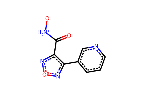 O=C([NH2+][O-])c1nonc1-c1cccnc1